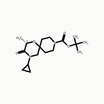 C[C@@H]1OC2(CCN(C(=O)OC(C)(C)C)CC2)CN(C2CC2)C1=O